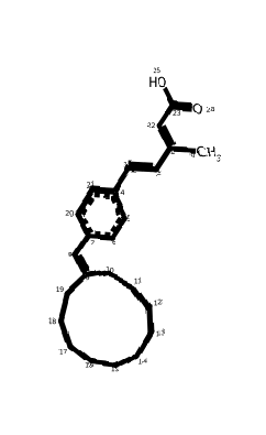 CC(C=Cc1ccc(C=C2CCCCCCCCCC2)cc1)=CC(=O)O